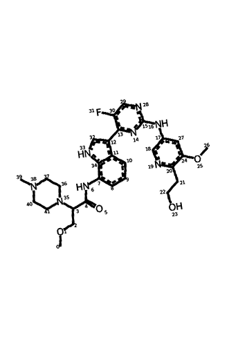 COCC(C(=O)Nc1cccc2c(-c3nc(Nc4cnc(CCO)c(OC)c4)ncc3F)c[nH]c12)N1CCN(C)CC1